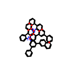 c1ccc(-c2cccc(-c3ccccc3N(c3ccccc3)c3ccccc3-c3ccccc3-c3ccc4c(c3)c3ccccc3n4-c3cc(-c4ccccc4)cc(-c4ccc5ccccc5c4)c3)c2)cc1